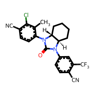 Cc1c(N2C(=O)N(c3ccc(C#N)c(C(F)(F)F)c3)[C@@H]3CCCC[C@H]32)ccc(C#N)c1Cl